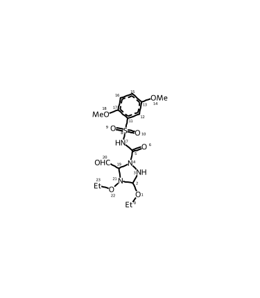 CCOC1NN(C(=O)NS(=O)(=O)c2cc(OC)ccc2OC)C(C=O)N1OCC